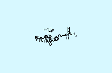 Cn1nc(-c2ccc(S(=O)(=O)N[C@@H](Cc3ccc(OCCCONC(=N)N)cc3)C(=O)O)s2)cc1C(F)(F)F.O=C(O)C(F)(F)F